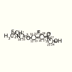 CC(C)(F)CN1CCC(COc2ccc(-c3ccc(C(=O)N4CCCC(O)C4)cc3F)cc2)CC1